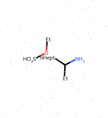 CCCCCCCC(N)CC.CCOS(=O)(=O)O